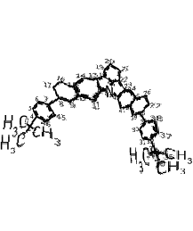 CC(C)(C)c1ccc(C2=Cc3cc4c(cc3CC2)c2cccc3c5cc6ccc(-c7ccc(C(C)(C)C)cc7)cc6cc5n4c23)cc1